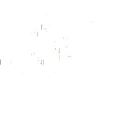 Cc1ccccc1[C@H](CC(=O)O)NC(=O)c1nn(C)cc1NS(=O)(=O)CCc1ccccc1